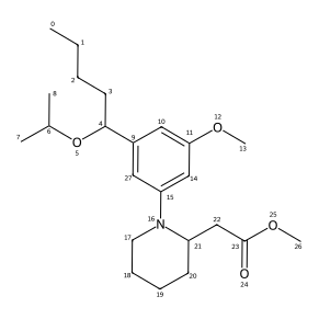 CCCCC(OC(C)C)c1cc(OC)cc(N2CCCCC2CC(=O)OC)c1